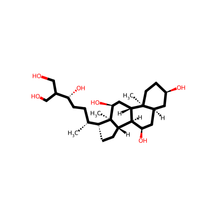 C[C@H](CC[C@@H](O)C(CO)CO)[C@H]1CC[C@H]2[C@@H]3[C@H](O)C[C@@H]4C[C@H](O)CC[C@]4(C)[C@H]3C[C@H](O)[C@]12C